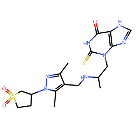 Cc1nn(C2CCS(=O)(=O)C2)c(C)c1CNC(C)Cn1c(=S)[nH]c(=O)c2[nH]cnc21